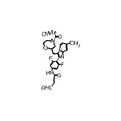 COC(=O)N1CCOC(Cc2c(-c3c(F)cc(NC(=O)CCC=O)cc3F)nc3cc(C)ccn23)C1